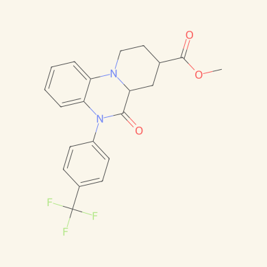 COC(=O)C1CCN2c3ccccc3N(c3ccc(C(F)(F)F)cc3)C(=O)C2C1